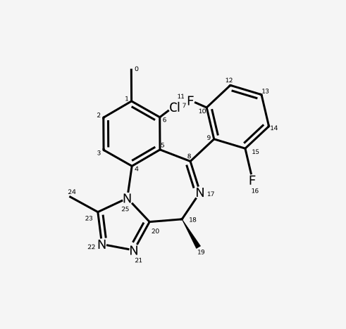 Cc1ccc2c(c1Cl)C(c1c(F)cccc1F)=N[C@@H](C)c1nnc(C)n1-2